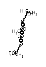 C=C[Si](C)(C)CCCCCCOc1ccc(C(=O)Oc2ccc(OC(=O)c3ccc(OCCCCCC[Si](C)(C)C=C)cc3)c(C)c2)cc1